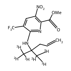 [2H]C([2H])([2H])C(CC=C)(Nc1nc(C(=O)OC)c([N+](=O)[O-])cc1C(F)(F)F)C([2H])([2H])[2H]